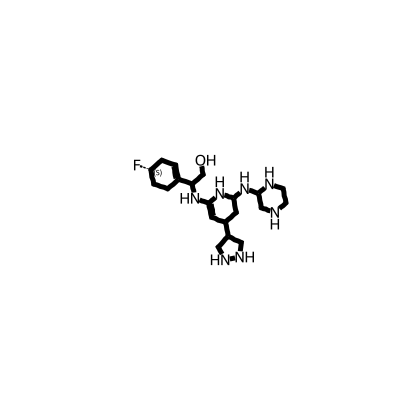 OCC(NC1=CC(C2CNNC2)CC(NC2CNCCN2)N1)C1=CC[C@@H](F)CC1